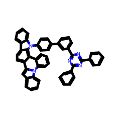 c1ccc(-c2nc(-c3ccccc3)nc(-c3cccc(-c4ccc(-n5c6ccccc6c6ccc7c(c8ccccc8n8c9ccccc9cc78)c65)cc4)c3)n2)cc1